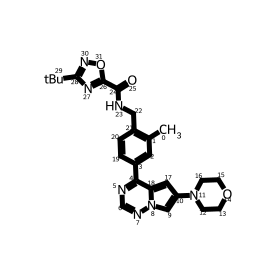 Cc1cc(-c2ncnn3cc(N4CCOCC4)cc23)ccc1CNC(=O)c1nc(C(C)(C)C)no1